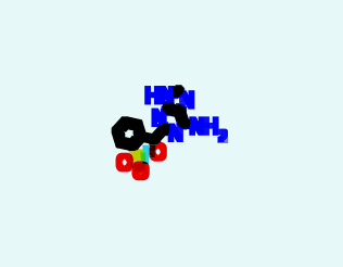 Nc1nc(C(=O)c2ccccc2S(=O)(=O)F)nc2[nH]cnc12